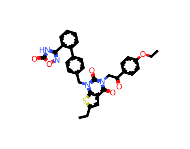 CCOc1ccc(C(=O)Cn2c(=O)c3cc(CC)sc3n(Cc3ccc(-c4ccccc4-c4noc(=O)[nH]4)cc3)c2=O)cc1